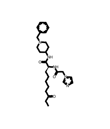 CCC(=O)CCCCC[C@H](NC(=O)Cn1ccnc1)C(=O)NC1CCN(Cc2ccccc2)CC1